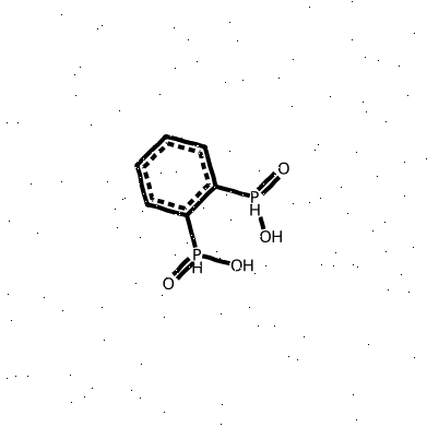 O=[PH](O)c1ccccc1[PH](=O)O